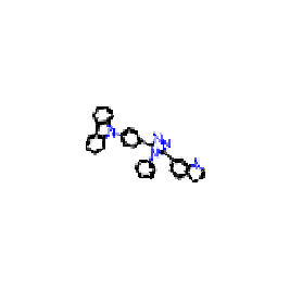 c1ccc(-n2c(-c3ccc(-n4c5ccccc5c5ccccc54)cc3)nnc2-c2ccc3cccnc3c2)cc1